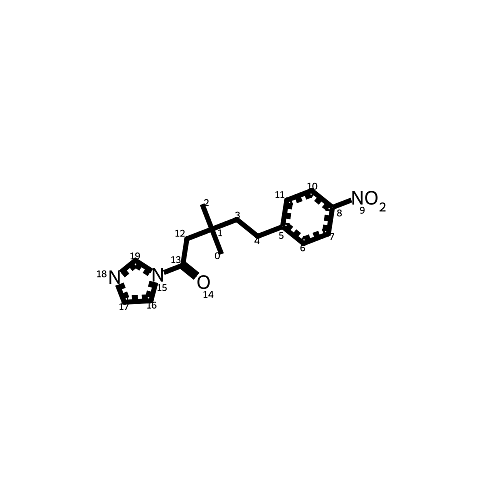 CC(C)(CCc1ccc([N+](=O)[O-])cc1)CC(=O)n1ccnc1